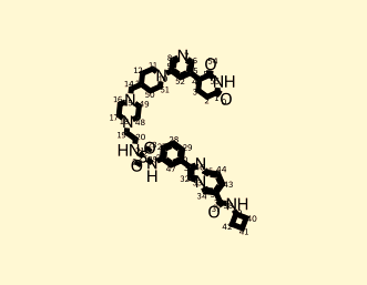 O=C1CCC(c2cncc(N3CCC(CN4CCN(CCNS(=O)(=O)Nc5cccc(-c6cn7cc(C(=O)NC8CCC8)ccc7n6)c5)CC4)CC3)c2)C(=O)N1